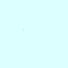 CCO[C](CC)C1CC1